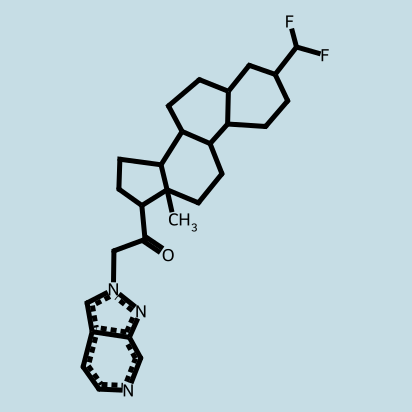 CC12CCC3C4CCC(C(F)F)CC4CCC3C1CCC2C(=O)Cn1cc2ccncc2n1